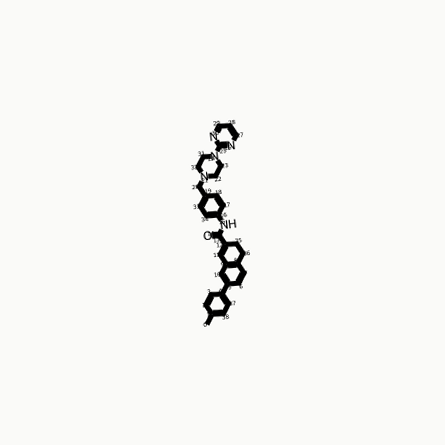 Cc1ccc(-c2ccc3c(c2)C=C(C(=O)Nc2ccc(CN4CCN(c5ncccn5)CC4)cc2)CC3)cc1